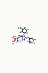 CC(C)(C)CN(Cc1cc(Sc2cccnc2)n(-c2cccc(Cl)c2F)n1)C(=O)O